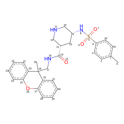 Cc1ccc(S(=O)(=O)N[C@H]2CNC[C@@H](C(=O)NCC3(C)c4ccccc4Oc4ccccc43)C2)cc1